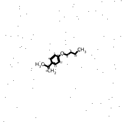 C=C(C)c1ccc(OCCCC)cc1